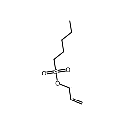 C=C[CH]OS(=O)(=O)CCCCC